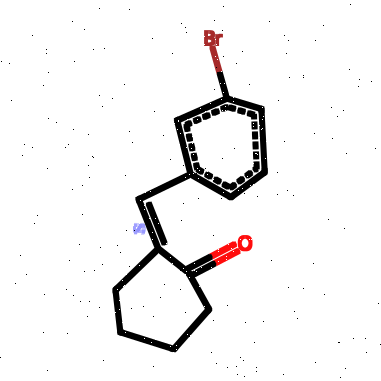 O=C1CCCC/C1=C/c1cccc(Br)c1